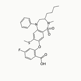 CCCCC1CN(c2ccccc2)c2cc(SC)c(Oc3cc(F)ccc3C(=O)O)cc2S(=O)(=O)N1C